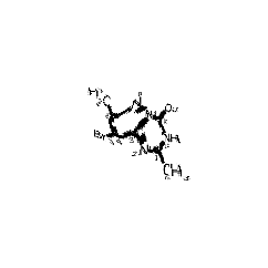 Cc1nc2c(Br)c(C)nn2c(=O)[nH]1